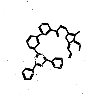 C=C/C=C1CC(/C=C\C(=C)c2cccc(-c3cccc(-c4nc(-c5ccccc5)nc(-c5ccccc5)n4)c3)c2)=C(C)C/1=C/C